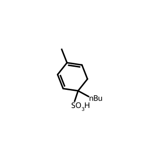 CCCCC1(S(=O)(=O)O)C=CC(C)=CC1